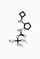 CC(C)(C)OC(=O)N[C@H]1CCC[C@@H]1NC1CCC1